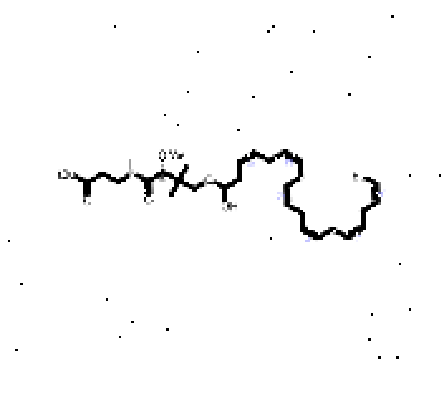 CC/C=C\C/C=C\C/C=C\C/C=C\C/C=C\C/C=C\CC(O)OCC(C)(C)[C@@H](OC)C(=O)NCCC(=O)C(C)(C)C